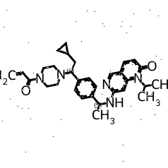 C=CC(=O)N1CCN([C@@H](CC2CC2)c2ccc([C@H](C)Nc3cc4c(ccc(=O)n4C(C)C)cn3)cc2)CC1